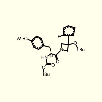 CCCCOC1(c2ccccc2F)CN(C(=O)[C@@H](Cc2ccc(OC)cc2)NC(=O)OC(C)(C)C)C1